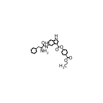 CCOC(=O)c1ccc(OC(=O)c2c[nH]c3ccc(NC(=O)[C@H](N)Cc4ccccc4)cc23)cc1